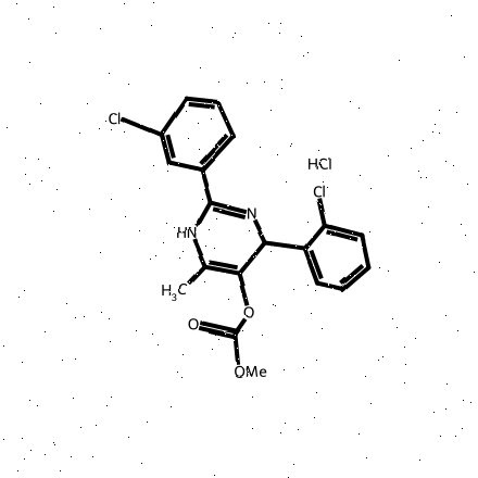 COC(=O)OC1=C(C)NC(c2cccc(Cl)c2)=NC1c1ccccc1Cl.Cl